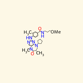 COCCCNC(=O)c1ccc(Nc2ncc3c(n2)N(C2CCCC2)CC(C)C(=O)N3C)c(C)c1